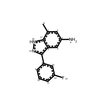 Cc1cc(N)cc2c(-c3cccc(F)c3)n[nH]c12